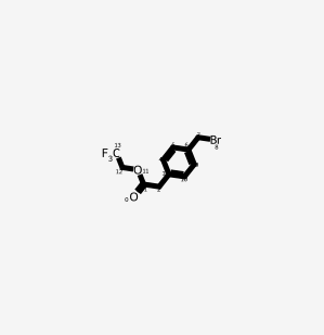 O=C(Cc1ccc(CBr)cc1)OCC(F)(F)F